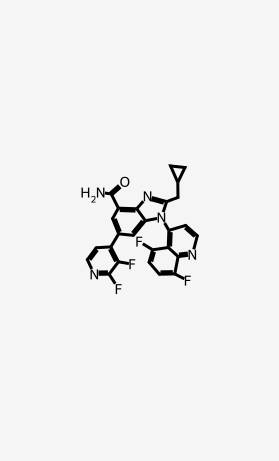 NC(=O)c1cc(-c2ccnc(F)c2F)cc2c1nc(CC1CC1)n2-c1ccnc2c(F)ccc(F)c12